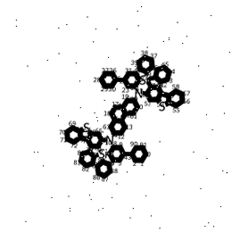 c1ccc(-c2ccc3c(c2)N(c2ccc4c(ccc5cc(N6c7cc(-c8ccccc8)ccc7[Si](c7ccccc7)(c7ccccc7)c7cc8c(cc76)sc6ccccc68)ccc54)c2)c2cc4sc5ccccc5c4cc2[Si]3(c2ccccc2)c2ccccc2)cc1